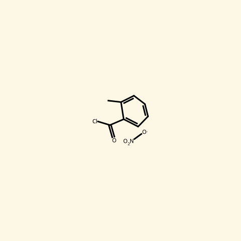 Cc1ccccc1C(=O)Cl.[O][N+](=O)[O-]